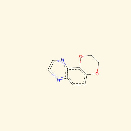 c1cnc2c3c(ccc2n1)OCCO3